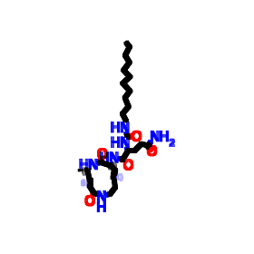 CCCCCCCCCCCCNC(=O)NC(CCC(N)=O)C(=O)N[C@H]1/C=C/CCNC(=O)/C=C/[C@H](C)NC1=O